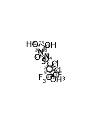 O=C(c1n[c]c(-c2ccc(C(O)(C(F)(F)F)C(F)(F)F)c(Cl)c2Cl)s1)N1C[C@H](O)C[C@H](O)C1